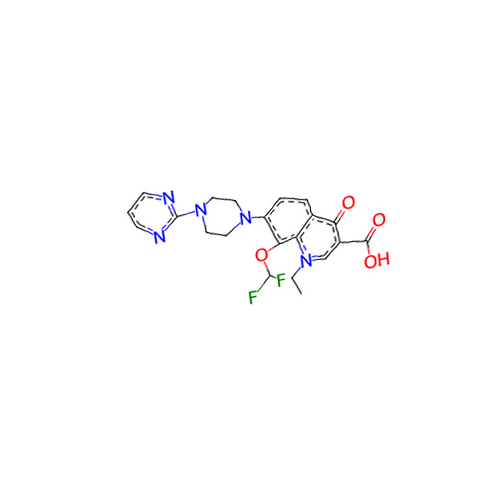 CCn1cc(C(=O)O)c(=O)c2ccc(N3CCN(c4ncccn4)CC3)c(OC(F)F)c21